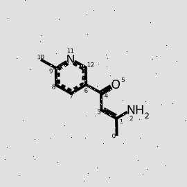 C/C(N)=C/C(=O)c1ccc(C)nc1